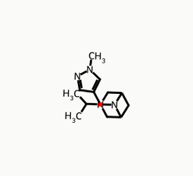 CC(C)N1CC2CC(C1)N2Cc1cnn(C)c1